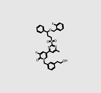 Cc1cc(-c2cc(F)c(=O)n(Cc3cccc(CCO)c3)c2)nc(S(=O)(=O)CCC(OCc2ccccc2F)c2ccccc2)n1